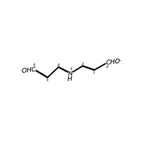 O=[C]CCNCC[C]=O